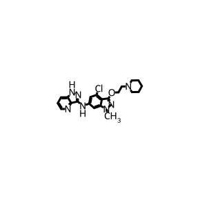 Cn1nc(OCCN2CCCCC2)c2c(Cl)cc(Nc3n[nH]c4cccnc34)cc21